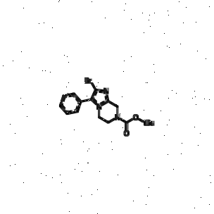 CC(C)(C)OC(=O)N1CCn2c(nc(Br)c2-c2ccccc2)C1